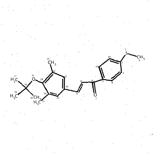 CSc1ccc(C(=O)/C=C/c2cc(C)c(OC(C)(C)C)c(C)c2)cc1